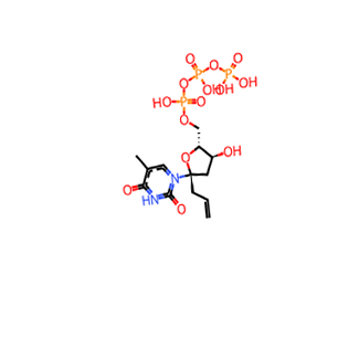 C=CC[C@]1(n2cc(C)c(=O)[nH]c2=O)C[C@H](O)[C@@H](COP(=O)(O)OP(=O)(O)OP(=O)(O)O)O1